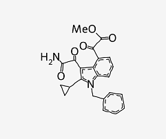 COC(=O)C(=O)c1cccc2c1c(C(=O)C(N)=O)c(C1CC1)n2Cc1ccccc1